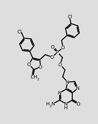 C=C1OC(COP(=O)(COCCn2cnc3c(=O)[nH]c(N)nc32)OCc2cccc(Cl)c2)=C(c2ccc(Cl)cc2)O1